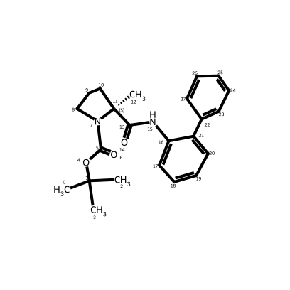 CC(C)(C)OC(=O)N1CCC[C@@]1(C)C(=O)Nc1ccccc1-c1ccccc1